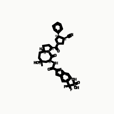 C[C@@]1(O)CC[C@H]2CC[C@@H](C(=O)N3C[C@H](c4ccccc4)[C@@H](C#N)C3)N2C(=O)[C@@H](NC(=O)c2cc3cc(C(F)(F)P(=O)(O)O)ccc3s2)C1